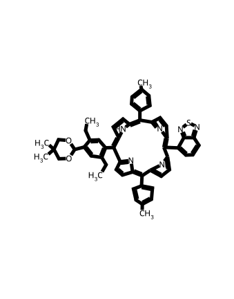 CCc1cc(C2OCC(C)(C)CO2)c(CC)cc1-c1c2nc(c(-c3ccc(C)cc3)c3ccc([nH]3)c(-c3cccc4nsnc34)c3nc(c(-c4ccc(C)cc4)c4ccc1[nH]4)C=C3)C=C2